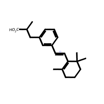 CC1=C(/C=C/c2cccc(CC(C)C(=O)O)c2)C(C)(C)CCC1